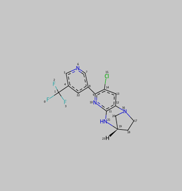 FC(F)(F)c1cncc(-c2nc3c(cc2Cl)N2CC[C@@H](C2)N3)c1